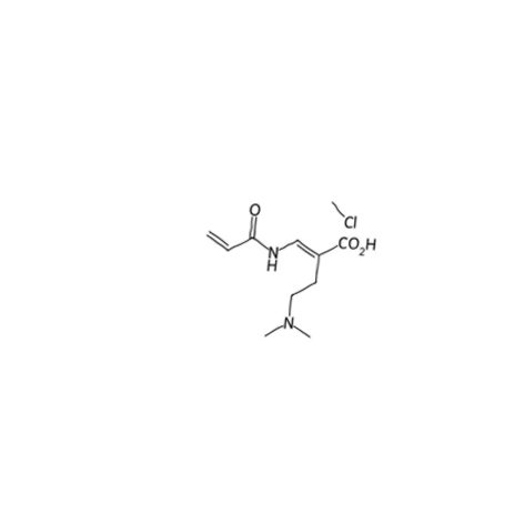 C=CC(=O)NC=C(CCN(C)C)C(=O)O.CCl